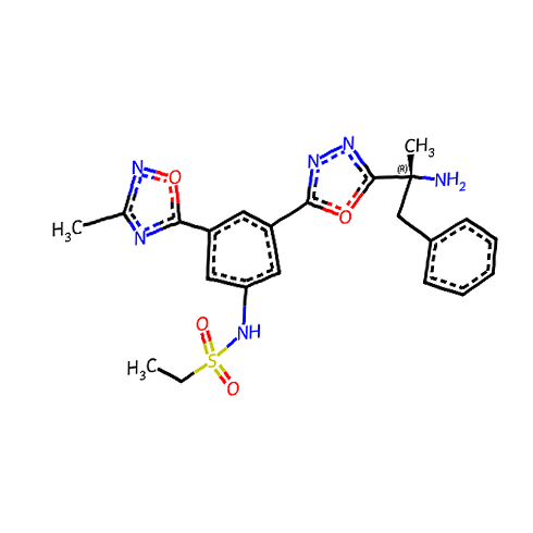 CCS(=O)(=O)Nc1cc(-c2nc(C)no2)cc(-c2nnc([C@](C)(N)Cc3ccccc3)o2)c1